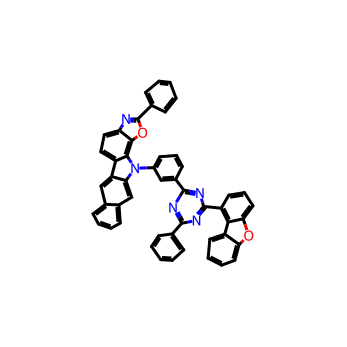 c1ccc(-c2nc(-c3cccc(-n4c5cc6ccccc6cc5c5ccc6nc(-c7ccccc7)oc6c54)c3)nc(-c3cccc4oc5ccccc5c34)n2)cc1